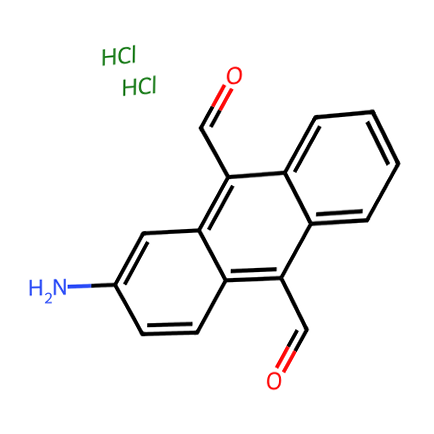 Cl.Cl.Nc1ccc2c(C=O)c3ccccc3c(C=O)c2c1